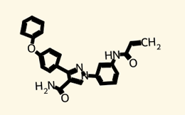 C=CC(=O)Nc1cccc(-n2cc(C(N)=O)c(-c3ccc(Oc4ccccc4)cc3)n2)c1